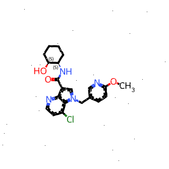 COc1ccc(Cn2cc(C(=O)N[C@H]3CCCC[C@@H]3O)c3nccc(Cl)c32)cn1